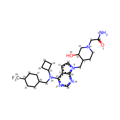 NC(=O)CN1CCC(Cn2ccc3c(N(CC4CCC(C(F)(F)F)CC4)C4CCC4)ncnc32)C(O)C1